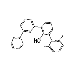 Cc1cccc(C)c1-c1cccc(-c2cccc(-c3ccccc3)c2)c1O